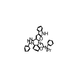 CC(C)N(C(=O)CN1C(=O)C(=Cc2c[nH]c3ccccc23)c2nnc(-c3ccccc3)n2-c2ccccc21)c1ccccc1